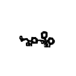 CC(C)(C)[Si](OCc1ccc([C@@H](O)CC2CO2)cc1)(c1ccccc1)c1ccccc1